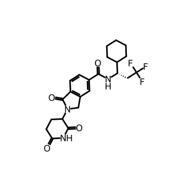 O=C1CCC(N2Cc3cc(C(=O)N[C@@H](CC(F)(F)F)C4CCCCC4)ccc3C2=O)C(=O)N1